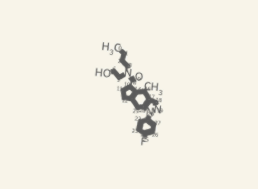 CCCCN(CCO)C(=O)[C@@H]1CCC2=C1[C@@H](C)c1cnn(-c3ccc(F)cc3)c1C2